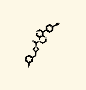 N#Cc1ccc(-c2cncc3c2OCCN3C(=O)N2CC(Cc3cccc(F)c3)C2)cc1